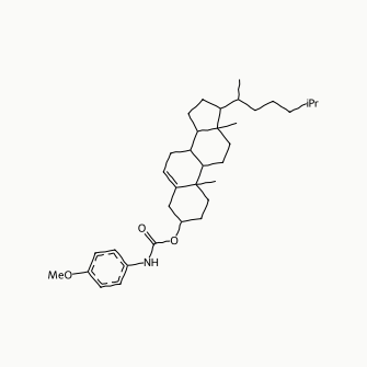 COc1ccc(NC(=O)OC2CCC3(C)C(=CCC4C3CCC3(C)C(C(C)CCCC(C)C)CCC43)C2)cc1